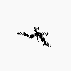 CCOCS(=O)(=O)CCc1ccc(N=Nc2c(S(=O)(=O)O)cc3cc(SOOO)c(N=Nc4ccc(SC#COOS(=O)(=O)O)cc4)c(N)c3c2O)cc1